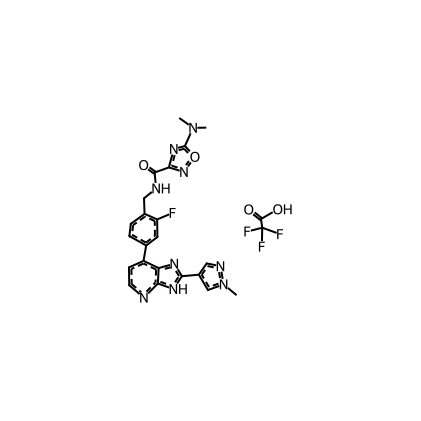 CN(C)c1nc(C(=O)NCc2ccc(-c3ccnc4[nH]c(-c5cnn(C)c5)nc34)cc2F)no1.O=C(O)C(F)(F)F